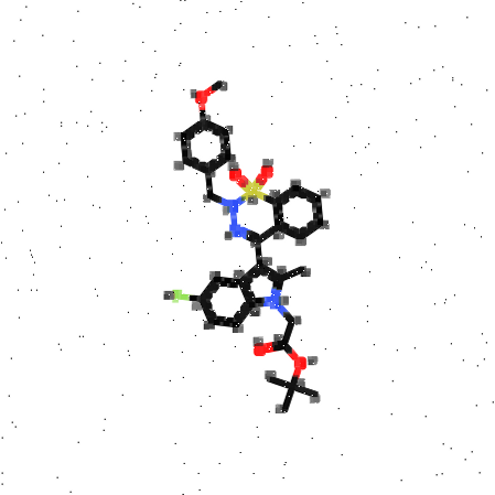 COc1ccc(CN2N=C(c3c(C)n(CC(=O)OC(C)(C)C)c4ccc(F)cc34)c3ccccc3S2(=O)=O)cc1